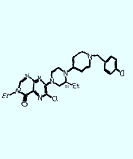 CC[C@H]1CN(c2nc3ncn(CC)c(=O)c3nc2Cl)CCN1C1CCN(Cc2ccc(Cl)cc2)CC1